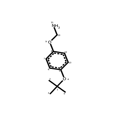 CC(C)(C)Oc1ccc(OCN)cc1